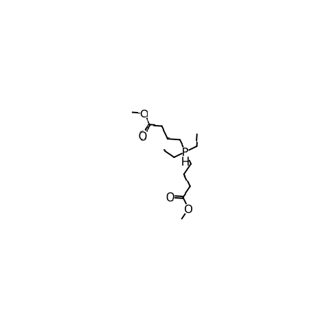 CC[PH](CC)(CCCC(=O)OC)CCCC(=O)OC